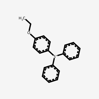 CCOc1ccc([S+](c2ccccc2)c2ccccc2)cc1